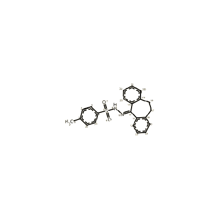 Cc1ccc(S(=O)(=O)NN=C2c3ccccc3CCc3ccccc32)cc1